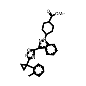 COC(=O)C1CCC(n2nc(-c3nc(C4(c5ccccc5C)CC4)no3)c3ccccc32)CC1